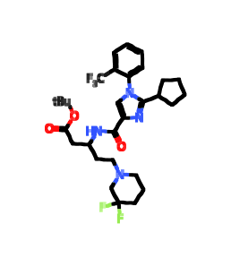 CC(C)(C)OC(=O)CC(CCN1CCCC(F)(F)C1)NC(=O)c1cn(-c2ccccc2C(F)(F)F)c(C2CCCC2)n1